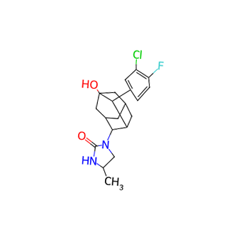 CC1CN(C2C3CC4CC2C(c2ccc(F)c(Cl)c2)C(O)(C4)C3)C(=O)N1